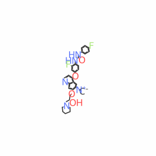 [C-]#[N+]c1cc2c(Oc3ccc(NC(=O)Nc4ccc(F)cc4)c(F)c3)ccnc2cc1OCC(O)CN1CCCCC1